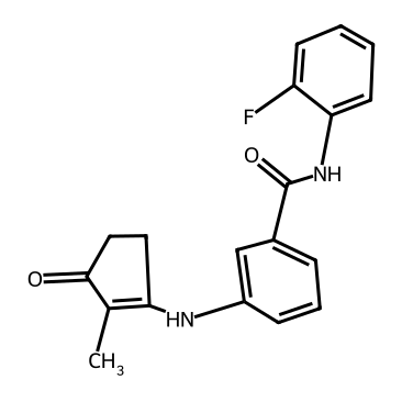 CC1=C(Nc2cccc(C(=O)Nc3ccccc3F)c2)CCC1=O